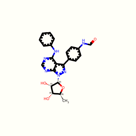 C[C@H]1O[C@@H](n2nc(-c3ccc(NC=O)cc3)c3c(Nc4ccccc4)ncnc32)[C@@H](O)[C@H]1O